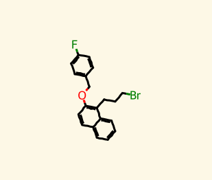 Fc1ccc(COc2ccc3ccccc3c2CCCBr)cc1